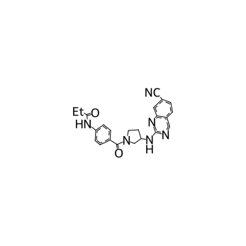 CCC(=O)Nc1ccc(C(=O)N2CCC(Nc3ncc4ccc(C#N)cc4n3)C2)cc1